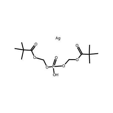 CC(C)(C)C(=O)OCOP(=O)(O)OCOC(=O)C(C)(C)C.[Ag]